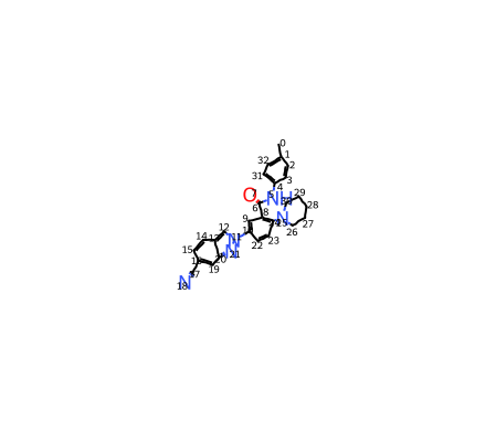 Cc1ccc(NC(=O)c2cc(-n3cc4ccc(C#N)cc4n3)ccc2N2CCCCC2)cc1